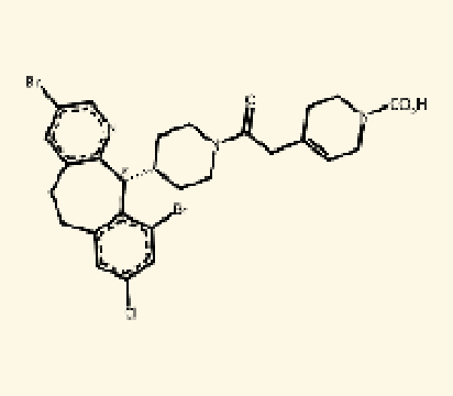 O=C(O)N1CC=C(CC(=O)N2CCC([C@H]3c4ncc(Br)cc4CCc4cc(Cl)cc(Br)c43)CC2)CC1